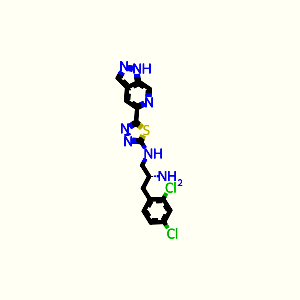 N[C@@H](CNc1nnc(-c2cc3cn[nH]c3cn2)s1)Cc1ccc(Cl)cc1Cl